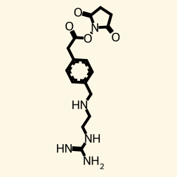 N=C(N)NCCNCc1ccc(CC(=O)ON2C(=O)CCC2=O)cc1